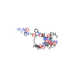 C=C[C@@H]1C[C@]1(NC(=O)[C@@H]1C[C@@H]2CN1C(=O)[C@H](C(C)(C)C)NC(=O)O[C@@H]1C[C@H]1CCCCCc1c(nc3ccccc3c1OCCCN1CCC[C@@H]1C(N)=O)O2)C(=O)NS(=O)(=O)C1(C)CC1